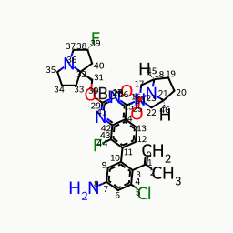 C=C(C)c1c(Cl)cc(N)cc1-c1ccc2c(N3C[C@H]4CC[C@@H](C3)N4C(=O)OC(C)(C)C)nc(OC[C@@]34CCCN3C[C@H](F)C4)nc2c1F